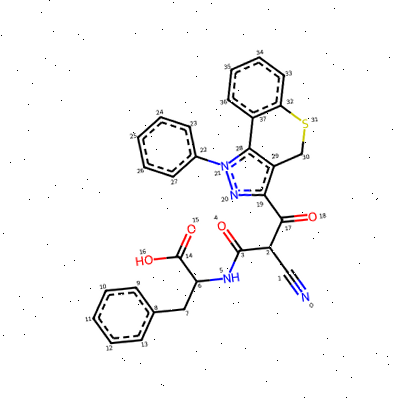 N#CC(C(=O)NC(Cc1ccccc1)C(=O)O)C(=O)c1nn(-c2ccccc2)c2c1CSc1ccccc1-2